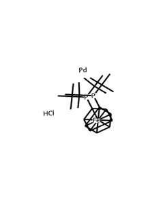 CC(C)(C)P(C(C)(C)C)[C]12[CH]3[CH]4[CH]5[CH]1[Fe]45321678[CH]2[CH]1[CH]6[C]7(P(C(C)(C)C)C(C)(C)C)[CH]28.Cl.[Pd]